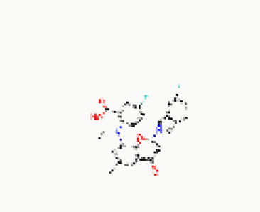 CCN(c1ccc(F)cc1C(=O)O)c1cc(C)cc2c(=O)cc(-n3cc4ccc(F)cc4c3)oc12